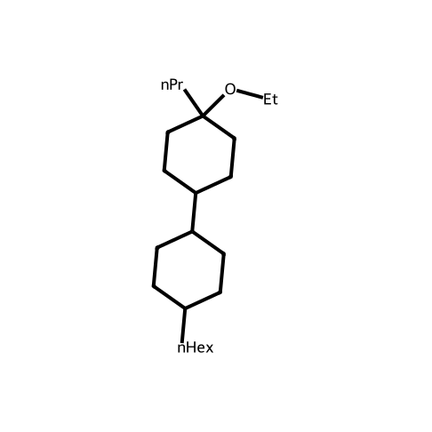 CCCCCCC1CCC(C2CCC(CCC)(OCC)CC2)CC1